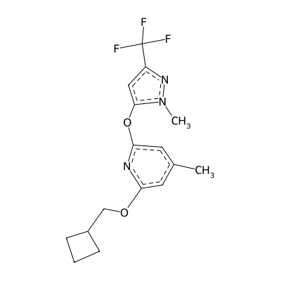 Cc1cc(OCC2CCC2)nc(Oc2cc(C(F)(F)F)nn2C)c1